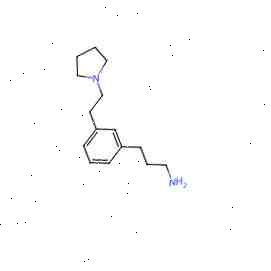 NCCCc1cccc(CCN2CCCC2)c1